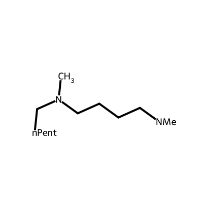 CCCCCCN(C)CCCCNC